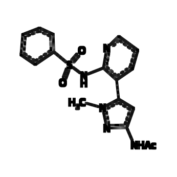 CC(=O)Nc1cc(-c2cccnc2NS(=O)(=O)c2ccccc2)n(C)n1